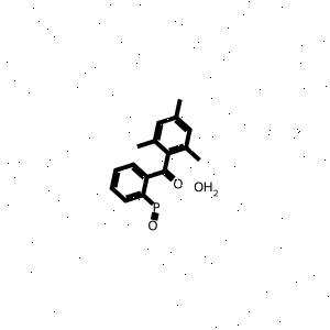 Cc1cc(C)c(C(=O)c2ccccc2P=O)c(C)c1.O